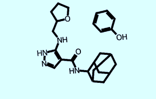 O=C(NC1C2CC3CC(C2)CC1C3)c1cn[nH]c1NCC1CCCO1.Oc1ccccc1